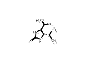 CC(C)C1NC(=S)N[C@H]1C(C)C